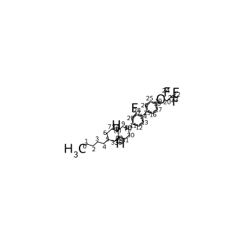 CCCCCC1CC[C@@H]2C[C@H](c3ccc(-c4ccc(OCC(F)(F)F)cc4)c(F)c3)CC[C@@H]2C1